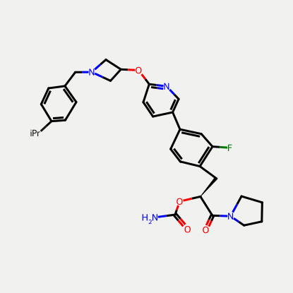 CC(C)c1ccc(CN2CC(Oc3ccc(-c4ccc(C[C@H](OC(N)=O)C(=O)N5CCCC5)c(F)c4)cn3)C2)cc1